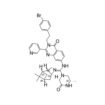 C[C@@H]1[C@@H](N=C(Nc2ccc3c(=O)n(CCc4ccc(Br)cc4)c(-c4cccnc4)nc3c2)N2CC(=O)N[C@@H](C)C2)C[C@H]2C[C@@H]1C2(C)C